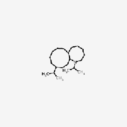 CC(C)C1CCCCCC2CCCCCN(C(C)C)C2CC1